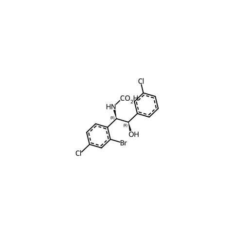 O=C(O)N[C@H](c1ccc(Cl)cc1Br)[C@H](O)c1cccc(Cl)c1